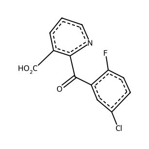 O=C(O)c1cccnc1C(=O)c1cc(Cl)ccc1F